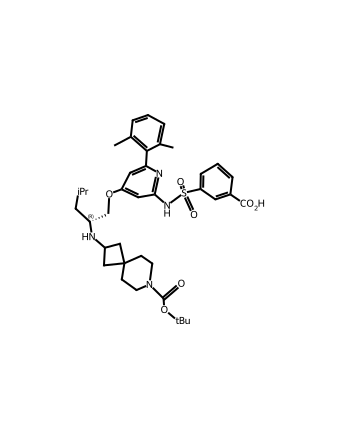 Cc1cccc(C)c1-c1cc(OC[C@@H](CC(C)C)NC2CC3(CCN(C(=O)OC(C)(C)C)CC3)C2)cc(NS(=O)(=O)c2cccc(C(=O)O)c2)n1